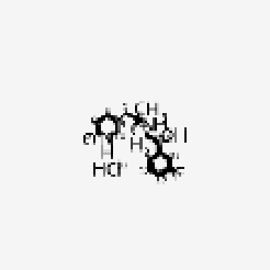 CC(C)(C[C@@H]1CCC(=O)NC1)NC[C@H](O)c1cccc(F)c1.Cl